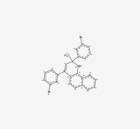 CC1(c2cccc(Br)n2)C=C(c2cccc(Br)n2)c2ccc3cccnc3c2N1